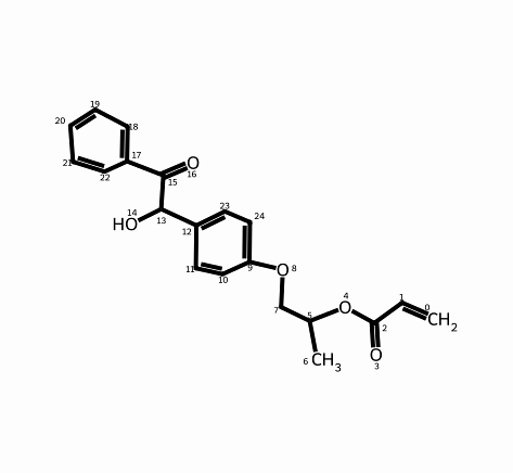 C=CC(=O)OC(C)COc1ccc(C(O)C(=O)c2ccccc2)cc1